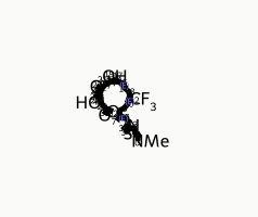 CNCc1nc(/C=C(\C)C2C/C=C(/C(F)(F)F)C/C=C/[C@H](C)[C@H](O)[C@@H](C)C(=O)C(C)(C)[C@@H](O)CC(=O)O2)cs1